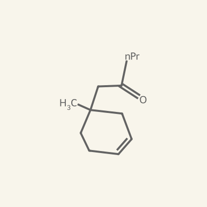 CCCC(=O)CC1(C)CC=CCC1